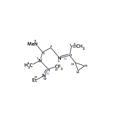 C=C/C(=N\CC(NC)N(C)/C(=N\CC)C(F)(F)F)C1CC1